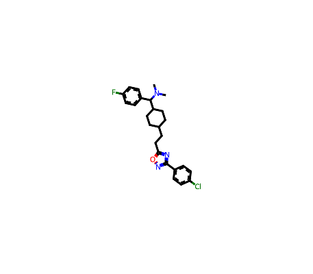 CN(C)C(c1ccc(F)cc1)C1CCC(CCc2nc(-c3ccc(Cl)cc3)no2)CC1